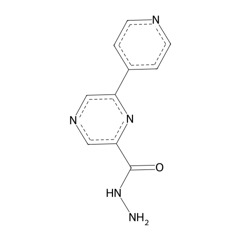 NNC(=O)c1cncc(-c2ccncc2)n1